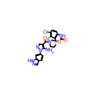 Nc1c(C(=O)N2CCC[C@@]3(C2)OC(=O)Nc2ccc(Cl)c(F)c23)cnn1-c1ccc2cn[nH]c2c1